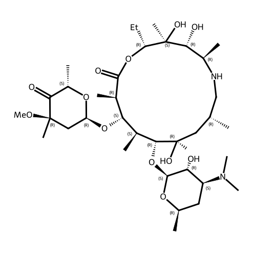 CC[C@H]1OC(=O)[C@H](C)[C@@H](O[C@H]2C[C@@](C)(OC)C(=O)[C@H](C)O2)[C@H](C)[C@@H](O[C@@H]2O[C@H](C)C[C@H](N(C)C)[C@H]2O)[C@](C)(O)C[C@@H](C)CN[C@H](C)[C@@H](O)[C@]1(C)O